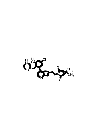 Cc1cc(Cl)cc(-c2ccnc3cc(CCN4C(=O)C5C(C4=O)C5(C)C)sc23)c1C[C@@H]1CNCCO1